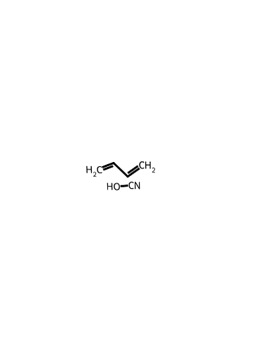 C=CC=C.N#CO